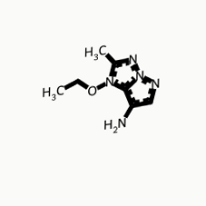 CCOn1c(C)nn2ncc(N)c12